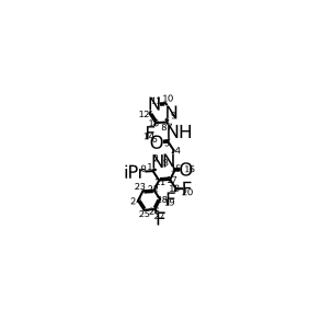 CC(C)c1nn(CC(=O)Nc2ncncc2F)c(=O)c(C(F)F)c1-c1cccc(F)c1